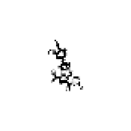 CC[C@@H](Cn1ccc(-c2ccc(C#N)c(Cl)c2)n1)n1nc(C(C)=O)cc1C(N)=O